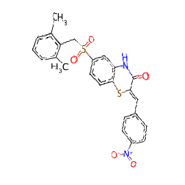 Cc1cccc(C)c1CS(=O)(=O)c1ccc2c(c1)NC(=O)/C(=C/c1ccc([N+](=O)[O-])cc1)S2